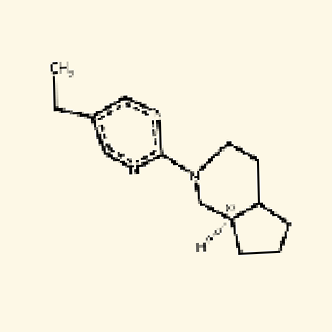 CCc1cnc(N2CCC3CCC[C@H]3C2)nc1